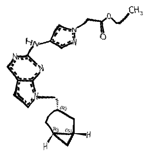 CCOC(=O)Cn1cc(Nc2ncc3ccn(C[C@@H]4C[C@@H]5C[C@@H]5C4)c3n2)cn1